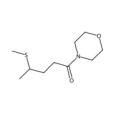 CSC(C)CCC(=O)N1CCOCC1